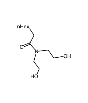 CCCCCCCC(=O)N(CCO)CCO